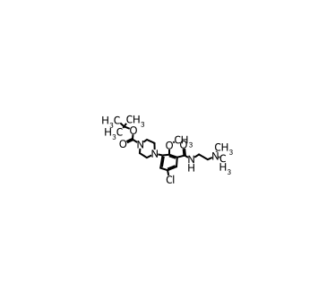 COc1c(C(=O)NCCN(C)C)cc(Cl)cc1N1CCN(C(=O)OC(C)(C)C)CC1